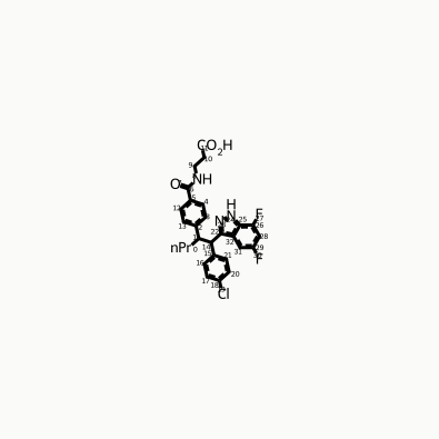 CCCC(c1ccc(C(=O)NCCC(=O)O)cc1)C(c1ccc(Cl)cc1)c1n[nH]c2c(F)cc(F)cc12